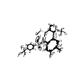 CC[C@@H]1c2cnn(C(C)(C)C)c2-c2cc(F)c(F)cc2N1S(=O)(=O)c1ccc(C(F)(F)F)cc1